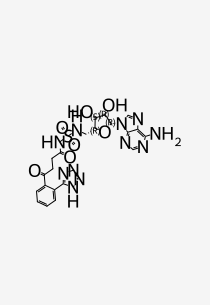 Nc1ncnc2c1ncn2[C@@H]1O[C@H](CNS(=O)(=O)NC(=O)CCC(=O)c2ccccc2-c2nnn[nH]2)[C@@H](O)[C@H]1O